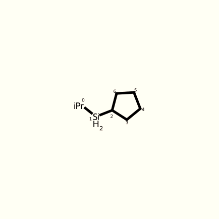 CC(C)[SiH2]C1CCCC1